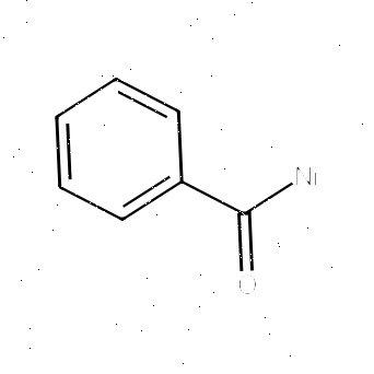 O=[C]([Ni])c1ccccc1